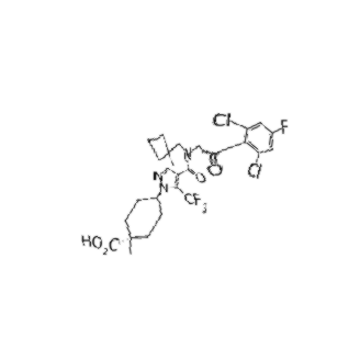 CC1(CN(CC(=O)c2c(Cl)cc(F)cc2Cl)C(=O)c2cnn([C@H]3CC[C@](C)(C(=O)O)CC3)c2C(F)(F)F)CCC1